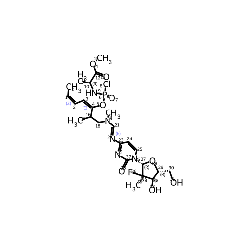 C/C=C\C=C(\OP(=O)(Cl)N[C@@H](C)C(=O)OC)C(C)CN(C)/C=N/c1ccn([C@@H]2O[C@H](CO)[C@@H](O)[C@@]2(C)F)c(=O)n1